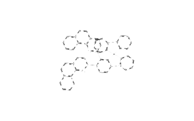 c1ccc2c(c1)-c1ccccc1C21c2ccccc2-c2ccc(-c3ccc4ccc5ccccc5c4n3)c(-c3ccc4ccc5ccccc5c4n3)c21